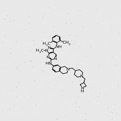 Cc1cccc(C)c1Nc1nn(C)c2nc(Nc3ccc4c(c3)CN(CC3CCN(CC5CNC5)CC3)CC4)ncc12